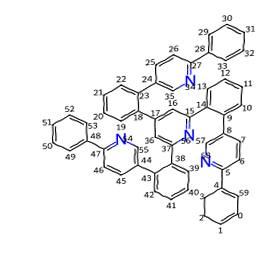 C1=CCCC(c2ccc(-c3ccccc3-c3cc(-c4ccccc4-c4ccc(-c5ccccc5)nc4)cc(-c4ccccc4-c4ccc(-c5ccccc5)nc4)n3)cn2)=C1